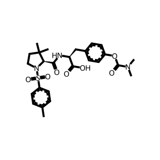 Cc1ccc(S(=O)(=O)N2CCC(C)(C)[C@H]2C(=O)N[C@@H](Cc2ccc(OC(=O)N(C)C)cc2)C(=O)O)cc1